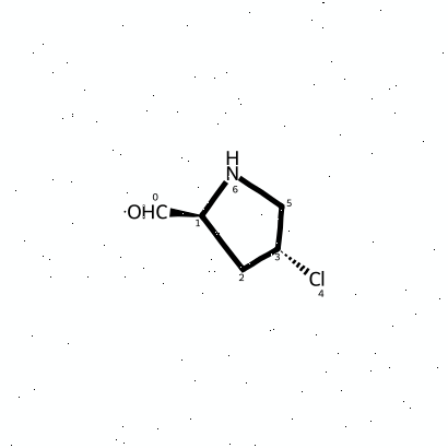 O=[C][C@@H]1C[C@@H](Cl)CN1